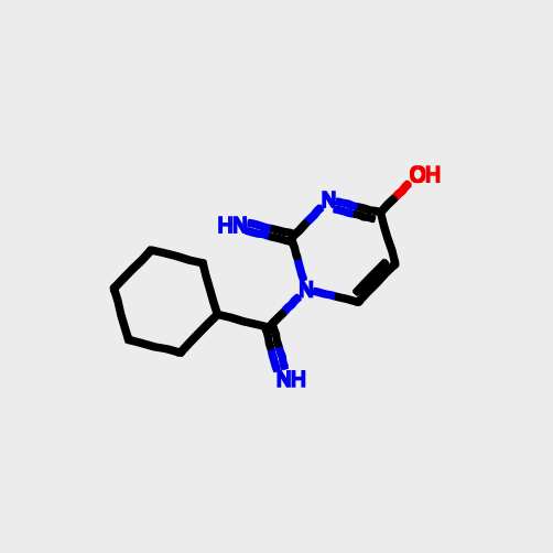 N=C(C1CCCCC1)n1ccc(O)nc1=N